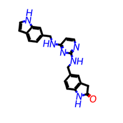 O=C1Cc2cc(CNc3nccc(NCc4ccc5cc[nH]c5c4)n3)ccc2N1